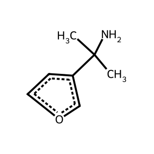 CC(C)(N)c1ccoc1